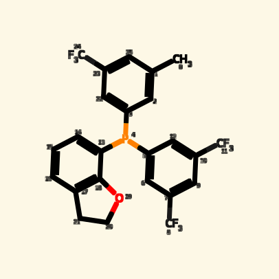 Cc1cc(P(c2cc(C(F)(F)F)cc(C(F)(F)F)c2)c2cccc3c2OCC3)cc(C(F)(F)F)c1